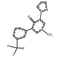 Cn1cc(-c2cccc(C(F)(F)F)c2)c(=O)c(-n2cccn2)c1